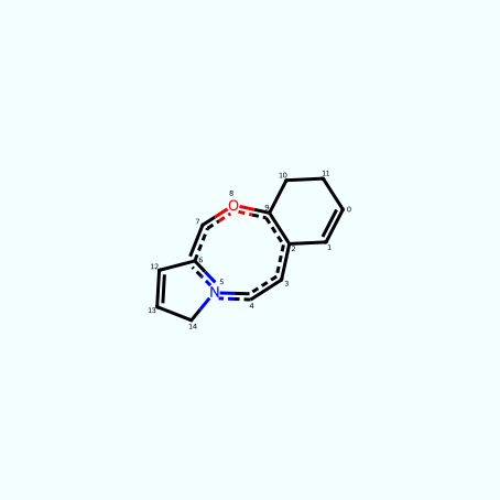 C1=Cc2ccn3c(coc2CC1)C=CC3